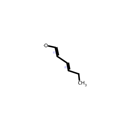 CC/C=C/C=C/[O]